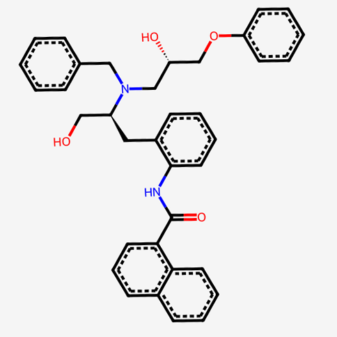 O=C(Nc1ccccc1C[C@@H](CO)N(Cc1ccccc1)C[C@H](O)COc1ccccc1)c1cccc2ccccc12